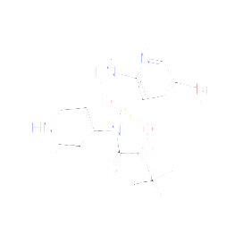 CC(C)(C)OC(=O)N(C1CCNCC1)S(=O)(=O)c1cc(Br)cnc1N